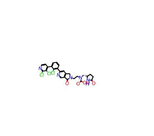 O=C1CC[C@@H](CN(CCN2Cc3cc(-c4cccc(-c5ccnc(Cl)c5Cl)c4Cl)ncc3C2=O)C(=O)O)N1